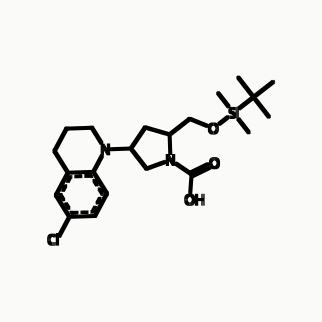 CC(C)(C)[Si](C)(C)OCC1CC(N2CCCc3cc(Cl)ccc32)CN1C(=O)O